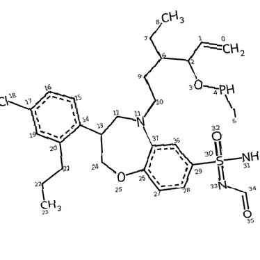 C=CC(OPI)C(CC)CCN1CC(c2ccc(Cl)cc2CCC)COc2ccc(S(N)(=O)=NC=O)cc21